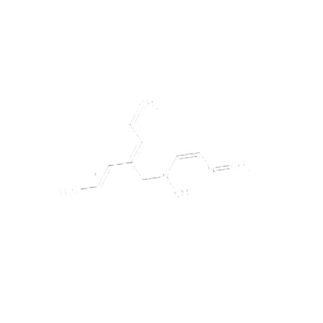 C=C/C=C(\C=C\C)CN(C)/C=C\N=C